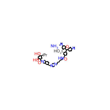 CC(C)c1cc(C(=O)N2Cc3ccc(CN4CCN(CCCCCNC(=O)c5ccc(C6=C7C=CC(N(C)C)C=C7Oc7cc(N(C)C)ccc76)c(C(=O)O)c5)CC4)cc3C2)c(O)cc1O.N